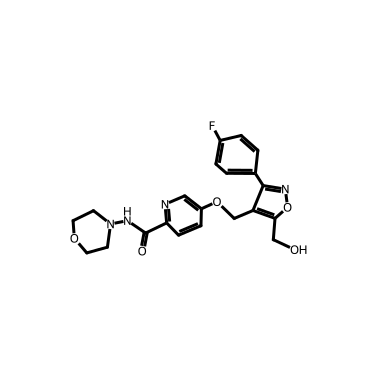 O=C(NN1CCOCC1)c1ccc(OCc2c(-c3ccc(F)cc3)noc2CO)cn1